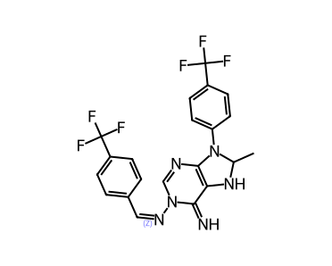 CC1Nc2c(ncn(/N=C\c3ccc(C(F)(F)F)cc3)c2=N)N1c1ccc(C(F)(F)F)cc1